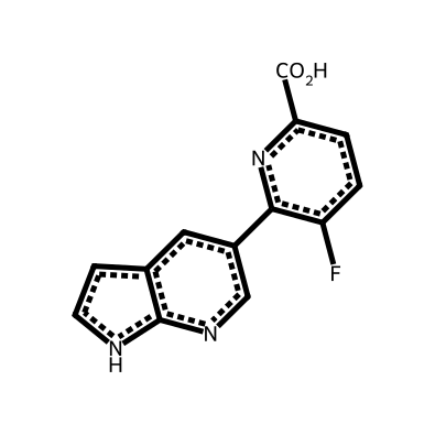 O=C(O)c1ccc(F)c(-c2cnc3[nH]ccc3c2)n1